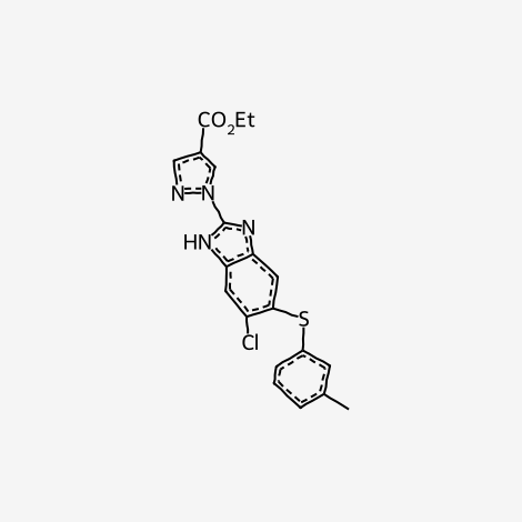 CCOC(=O)c1cnn(-c2nc3cc(Sc4cccc(C)c4)c(Cl)cc3[nH]2)c1